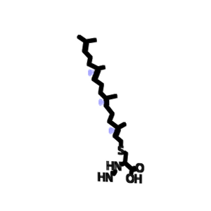 CC(C)=CCC/C(C)=C/CC/C(C)=C/CC/C(C)=C/CSCC(NC=N)C(=O)O